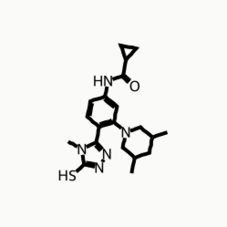 CC1CC(C)CN(c2cc(NC(=O)C3CC3)ccc2-c2nnc(S)n2C)C1